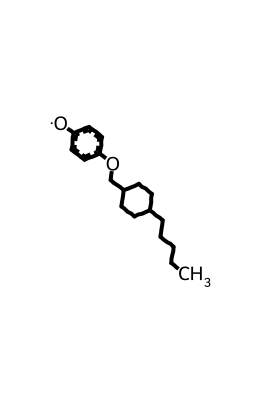 CCCCCC1CCC(COc2ccc([O])cc2)CC1